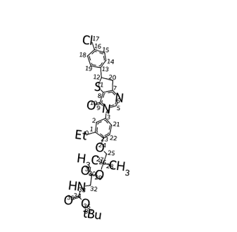 CCc1cc(-n2cnc3c(c2=O)SC(c2ccc(Cl)cc2)C3)ccc1OCC(C)(C)OC(=O)CNC(=O)OC(C)(C)C